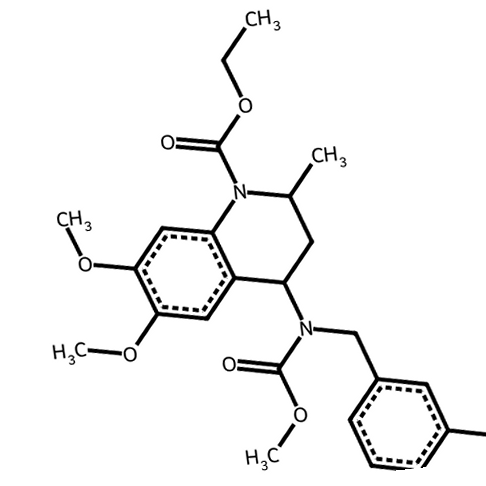 CCOC(=O)N1c2cc(OC)c(OC)cc2C(N(Cc2cccc(Cl)c2)C(=O)OC)CC1C